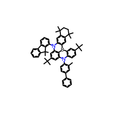 Cc1cc(-c2ccccc2)ccc1N1c2ccc(C(C)(C)C)cc2B2c3cc4c(cc3N(c3cccc5c3C(C)(C)c3ccccc3-5)c3cc(C(C)(C)C)cc1c32)C(C)(C)CCC4(C)C